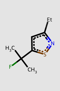 CCc1cc(C(C)(C)F)sn1